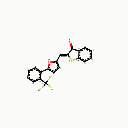 O=C1C(=Cc2ccc(-c3ccccc3C(F)(F)F)o2)Sc2ccccc21